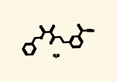 COC(=O)c1cccc(CCC(=O)C(=O)C(=O)OCc2ccccc2)c1.O